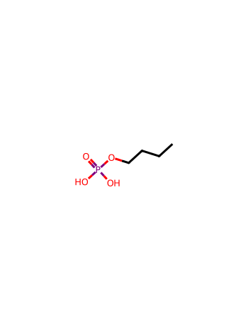 CCCCOP(=O)(O)O